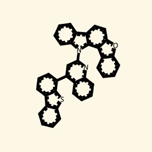 c1ccc2c(-c3cccc4c3sc3ccccc34)cc(-n3c4ccccc4c4ccc5oc6ccccc6c5c43)nc2c1